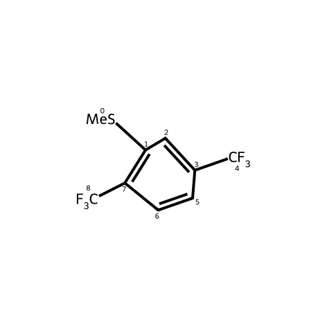 CSc1cc(C(F)(F)F)ccc1C(F)(F)F